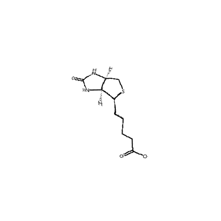 [O]C(=O)CCCC[C@@H]1SC[C@@H]2NC(=O)N[C@@H]21